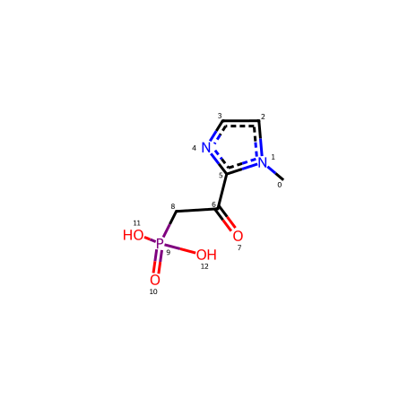 Cn1ccnc1C(=O)CP(=O)(O)O